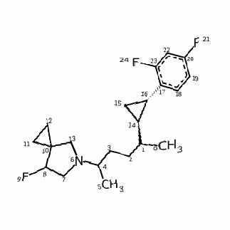 CC(CCC(C)N1CC(F)C2(CC2)C1)[C@H]1C[C@@H]1c1ccc(F)cc1F